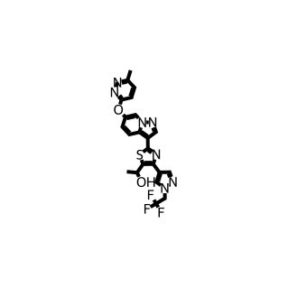 Cc1ccc(Oc2ccc3c(-c4nc(-c5cnn(CC(F)(F)F)c5)c(C(C)O)s4)cnn3c2)nn1